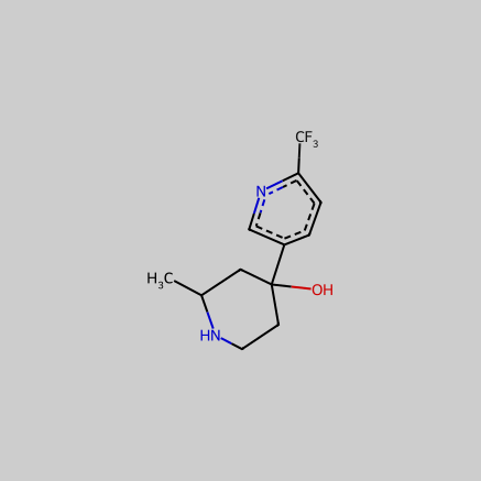 CC1CC(O)(c2ccc(C(F)(F)F)nc2)CCN1